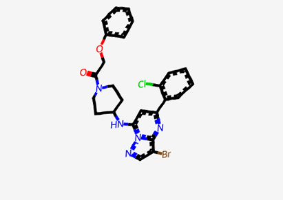 O=C(COc1ccccc1)N1CCC(Nc2cc(-c3ccccc3Cl)nc3c(Br)cnn23)CC1